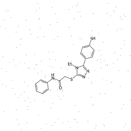 CCn1c(SCC(=O)Nc2ccccc2)nnc1-c1ccc(S)cc1